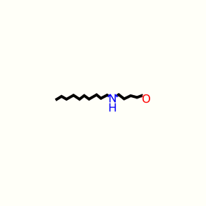 CCCCCCCCCCNCCCCC=O